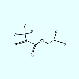 C=C(C(=O)OCC(F)F)C(F)(F)F